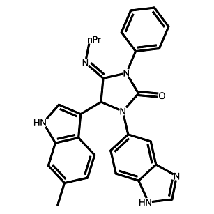 CCCN=C1C(c2c[nH]c3cc(C)ccc23)N(c2ccc3[nH]cnc3c2)C(=O)N1c1ccccc1